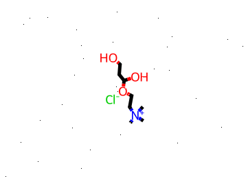 C[N+](C)(C)CCOC(O)CCO.[Cl-]